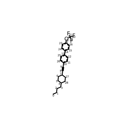 CCCCC1CCC(C#Cc2ccc(-c3ccc(OC(F)(F)F)cc3)cc2)CC1